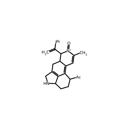 C=C(C(C)C)C1C2CC3=C4C(=C2C=C(C)[N+]1=O)C(C(C)=O)CCC4NC3